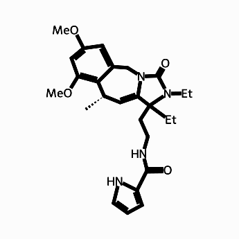 CCN1C(=O)N2Cc3cc(OC)cc(OC)c3[C@@H](C)C=C2C1(CC)CCNC(=O)c1ccc[nH]1